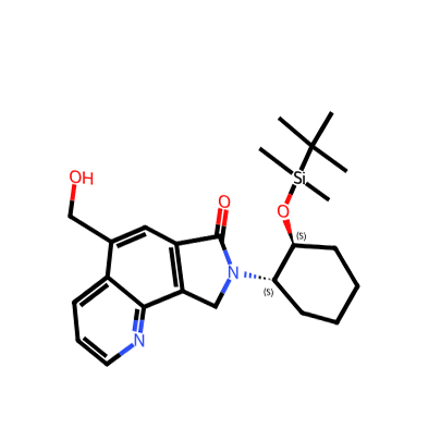 CC(C)(C)[Si](C)(C)O[C@H]1CCCC[C@@H]1N1Cc2c(cc(CO)c3cccnc23)C1=O